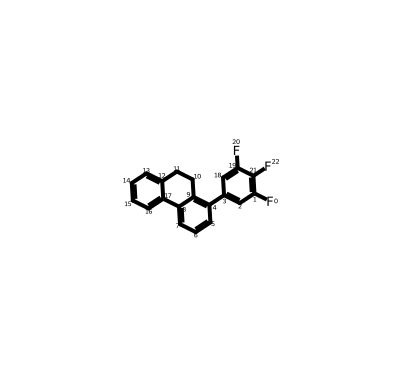 Fc1cc(-c2cccc3c2CCc2ccccc2-3)cc(F)c1F